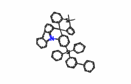 C[Si]1(C)c2ccccc2C2(c3ccc([Si](c4ccccc4)(c4ccccc4)c4cccc(-c5ccccc5)c4)cc3-n3c4ccccc4c4cccc2c43)c2ccccc21